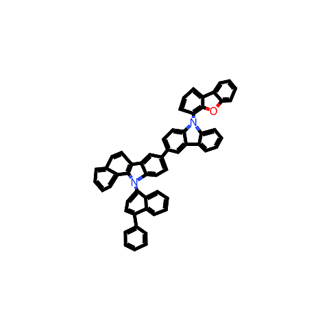 c1ccc(-c2ccc(-n3c4ccc(-c5ccc6c(c5)c5ccccc5n6-c5cccc6c5oc5ccccc56)cc4c4ccc5ccccc5c43)c3ccccc23)cc1